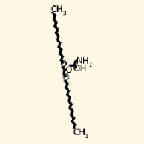 CCCCCCCCCCCCCCCCOCC(COCCCCCCCCCCCCCCCC)OCC(O)CN